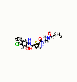 C=CC(=O)N1CC(NC(=O)c2ccc(CNc3cc(C(C)(C)C)c(Cl)cc3O)s2)C1